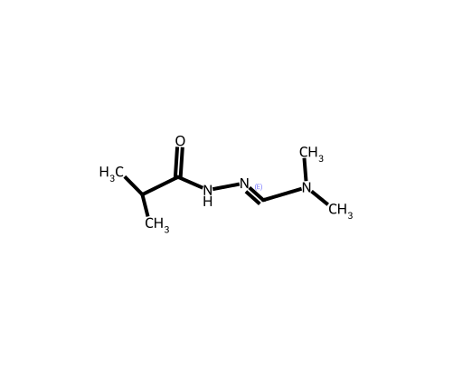 CC(C)C(=O)N/N=C/N(C)C